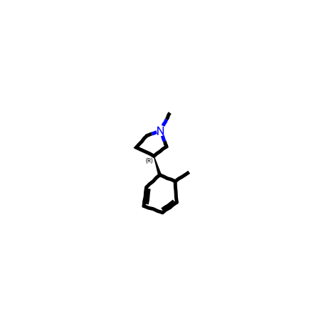 CC1C=CC=CC1[C@H]1CCN(C)C1